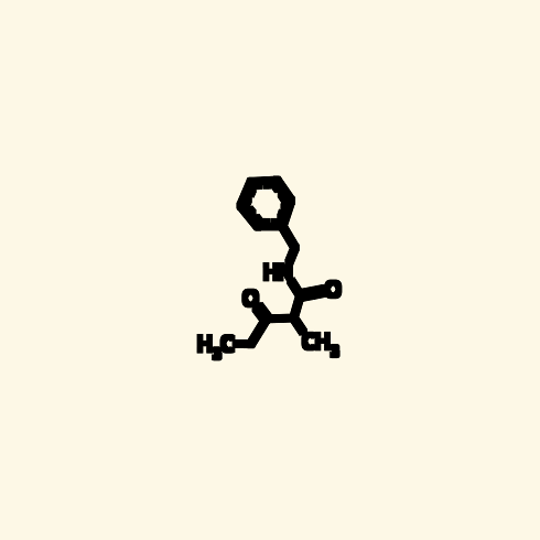 CCC(=O)C(C)C(=O)NCc1ccccc1